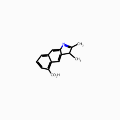 CC1=Nc2cc3cccc(C(=O)O)c3cc2C1C